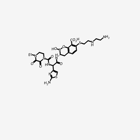 CCN1CCN(C(=O)NC(C(=O)N[C@H]2Cc3ccc(SCCNCCN)c(C(=O)O)c3OB2O)c2csc(N)n2)C(=O)C1=O